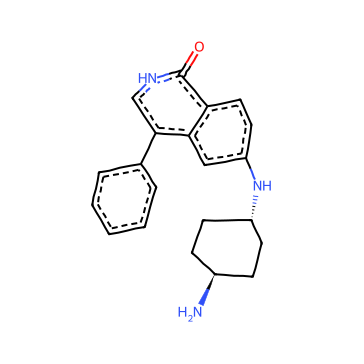 N[C@H]1CC[C@H](Nc2ccc3c(=O)[nH]cc(-c4ccccc4)c3c2)CC1